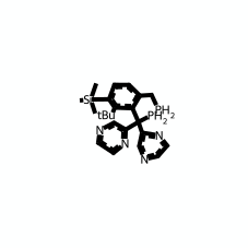 CC(C)(C)c1c([Si](C)(C)C)ccc(CP)c1C(P)(c1cnccn1)c1cnccn1